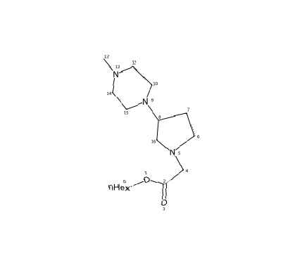 CCCCCCOC(=O)CN1CCC(N2CCN(C)CC2)C1